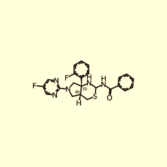 O=C(NC1N[C@@]2(c3ccccc3F)CN(c3ncc(F)cn3)C[C@H]2CS1)c1ccccc1